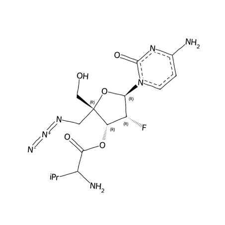 CC(C)C(N)C(=O)O[C@H]1[C@@H](F)[C@H](n2ccc(N)nc2=O)O[C@@]1(CO)CN=[N+]=[N-]